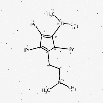 CC(C)C1=C(CCN(C)C)C(C(C)C)[C]([Ti]([CH3])[CH3])=C1C(C)C